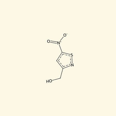 O=[N+]([O-])c1cc(CO)ns1